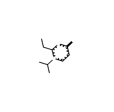 CCc1nc(=O)ccn1C(C)C